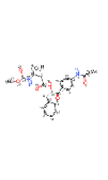 COC(=O)Nc1ccc(C(=O)[C@H](Cc2ccccc2)OC(=O)CC(NC(=O)OC(C)(C)C)C(=O)O)cc1